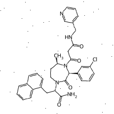 C[C@@H]1CCN(C(Cc2cccc3ccccc23)C(N)=O)C(=O)[C@H](c2cccc(Cl)c2)N1C(=O)CC(=O)NCc1cccnc1